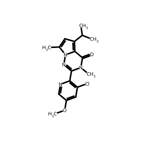 COc1cnc(-c2nn3c(C)cc(C(C)C)c3c(=O)n2C)c(Cl)c1